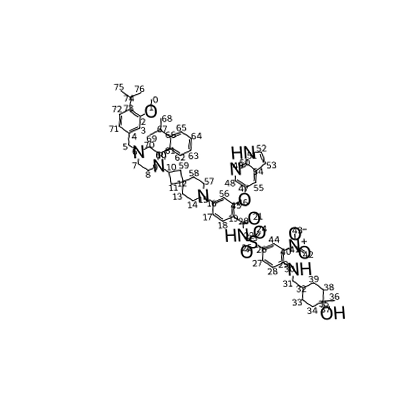 COc1cc(CN2CCN(C3CC4(CCN(c5ccc(C(=O)NS(=O)(=O)c6ccc(NCC7CCC(C)(O)CC7)c([N+](=O)[O-])c6)c(Oc6cnc7[nH]ccc7c6)c5)CC4)C3)[C@H](c3ccccc3C(C)C)C2)ccc1C(C)C